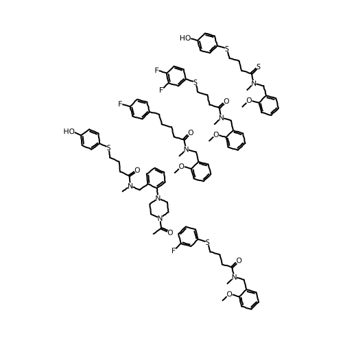 CC(=O)N1CCN(c2ccccc2CN(C)C(=O)CCCSc2ccc(O)cc2)CC1.COc1ccccc1CN(C)C(=O)CCCCc1ccc(F)cc1.COc1ccccc1CN(C)C(=O)CCCSc1ccc(F)c(F)c1.COc1ccccc1CN(C)C(=O)CCCSc1cccc(F)c1.COc1ccccc1CN(C)C(=S)CCCSc1ccc(O)cc1